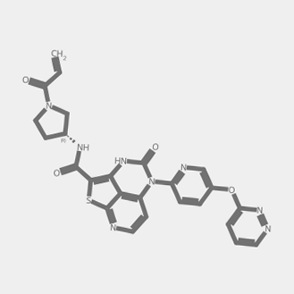 C=CC(=O)N1CC[C@@H](NC(=O)c2sc3nccc4c3c2NC(=O)N4c2ccc(Oc3cccnn3)cn2)C1